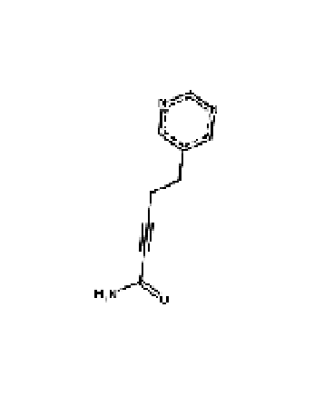 NC(=O)C#CCCc1cncnc1